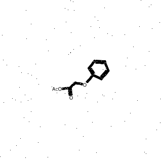 CC(=O)OC(=O)COc1ccccc1